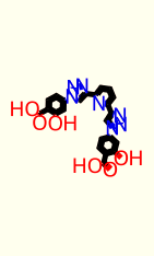 O=C(O)c1ccc(-n2cc(-c3cccc(-c4cn(-c5ccc(C(=O)O)c(O)c5)nn4)n3)nn2)cc1O